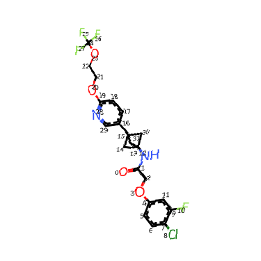 O=C(COc1ccc(Cl)c(F)c1)NC12CC(c3ccc(OCCOC(F)(F)F)nc3)(C1)C2